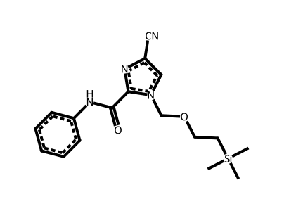 C[Si](C)(C)CCOCn1cc(C#N)nc1C(=O)Nc1ccccc1